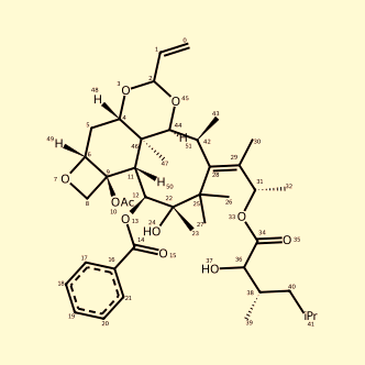 C=CC1O[C@H]2C[C@H]3OC[C@@]3(OC(C)=O)[C@H]3[C@H](OC(=O)c4ccccc4)[C@@](C)(O)C(C)(C)/C(=C(/C)[C@H](C)OC(=O)C(O)[C@@H](C)CC(C)C)[C@H](C)[C@H](O1)[C@]23C